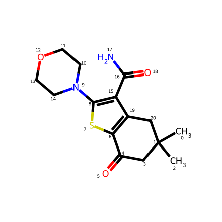 CC1(C)CC(=O)c2sc(N3CCOCC3)c(C(N)=O)c2C1